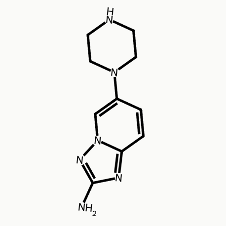 Nc1nc2ccc(N3CCNCC3)cn2n1